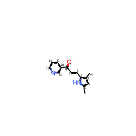 Cc1cc(C)c(/C=C/C(=O)c2cccnc2)[nH]1